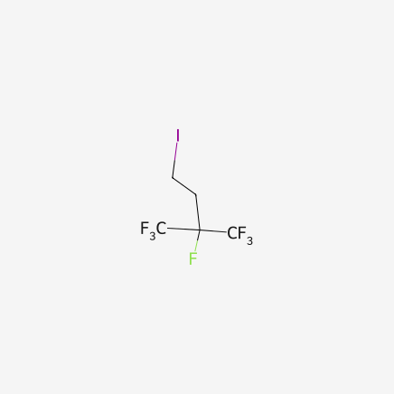 FC(F)(F)C(F)(CCI)C(F)(F)F